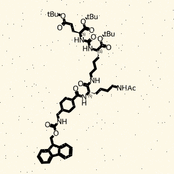 CC(=O)NCCCC[C@H](NC(=O)C1CCC(CNC(=O)OCC2c3ccccc3-c3ccccc32)CC1)C(=O)NCCCC[C@H](NC(=O)N[C@@H](CCC(=O)OC(C)(C)C)C(=O)OC(C)(C)C)C(=O)OC(C)(C)C